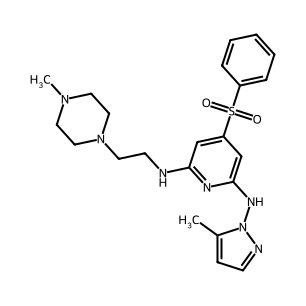 Cc1ccnn1Nc1cc(S(=O)(=O)c2ccccc2)cc(NCCN2CCN(C)CC2)n1